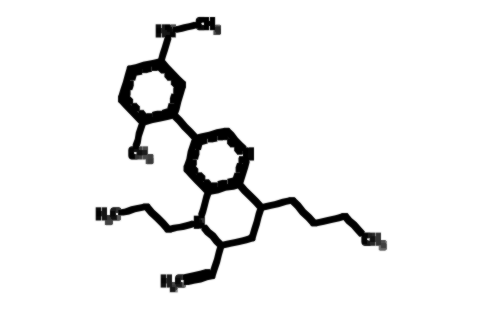 C=CC1CC(CCCC)c2ncc(-c3cc(NC)ccc3C)cc2N1CCC